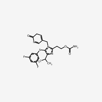 CC(C)c1nc(CCOC(N)=O)n(CC2=CCC(=O)N=C2)c1Sc1cc(F)cc(F)c1